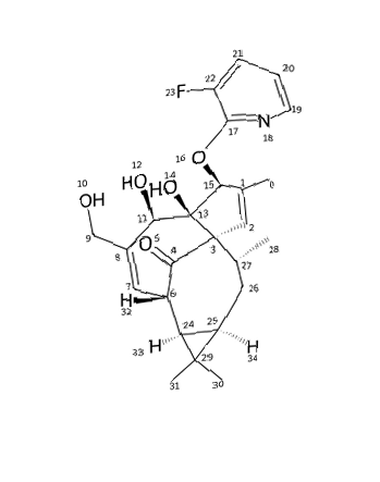 CC1=C[C@]23C(=O)[C@@H](C=C(CO)[C@@H](O)[C@]2(O)[C@H]1Oc1ncccc1F)[C@H]1[C@@H](C[C@H]3C)C1(C)C